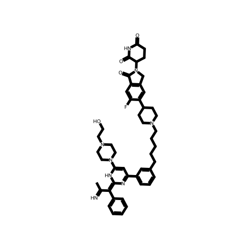 CC(=N)/C(=C1/N=C(c2cccc(CCCCCN3CCC(c4cc5c(cc4F)C(=O)N(C4CCC(=O)NC4=O)C5)CC3)c2)C=C(N2CCN(CCO)CC2)N1)c1ccccc1